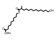 COC(=O)CCCCCCCCOC(=O)C(C)CCCCCCCCCCCO